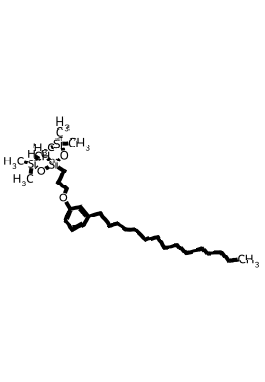 CCCCCCCCCCCCCCCc1cccc(OCCC[Si](C)(O[Si](C)(C)C)O[Si](C)(C)C)c1